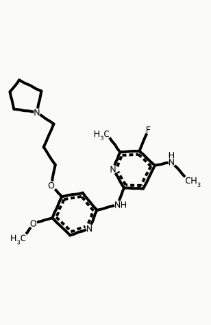 CNc1cc(Nc2cc(OCCCN3CCCC3)c(OC)cn2)nc(C)c1F